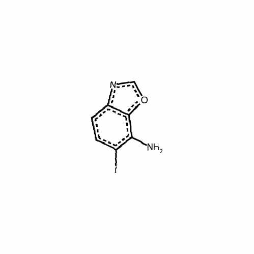 Nc1c(I)ccc2ncoc12